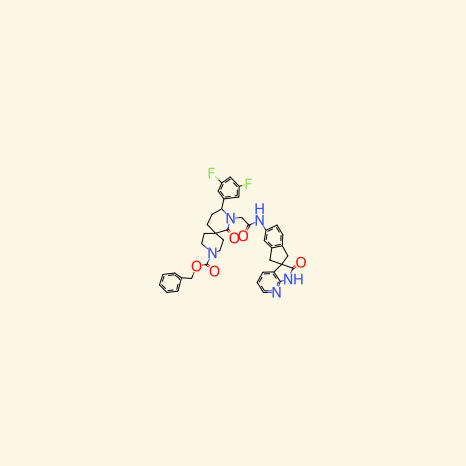 O=C(CN1C(=O)C2(CCC1c1cc(F)cc(F)c1)CCN(C(=O)OCc1ccccc1)CC2)Nc1ccc2c(c1)CC1(C2)C(=O)Nc2ncccc21